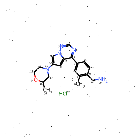 Cc1cc(-c2ncnn3cc(N4CCOC(C)C4)cc23)ccc1CN.Cl